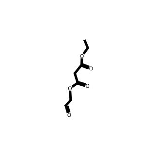 CCOC(=O)CC(=O)OC[C]=O